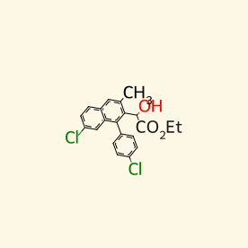 CCOC(=O)C(O)c1c(C)cc2ccc(Cl)cc2c1-c1ccc(Cl)cc1